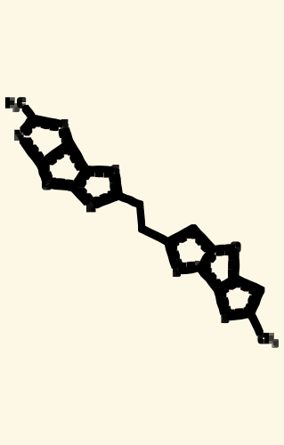 Cc1cc2oc3cc(CCc4nc5oc6nc(C)sc6c5s4)sc3c2s1